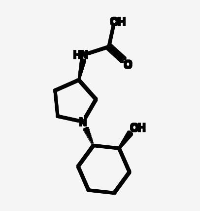 O=C(O)N[C@@H]1CCN([C@H]2CCCC[C@@H]2O)C1